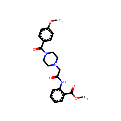 COC(=O)c1ccccc1NC(=O)CN1CCN(C(=O)c2ccc(OC)cc2)CC1